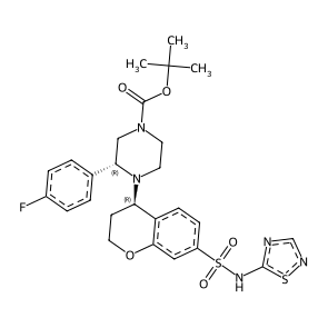 CC(C)(C)OC(=O)N1CCN([C@@H]2CCOc3cc(S(=O)(=O)Nc4ncns4)ccc32)[C@H](c2ccc(F)cc2)C1